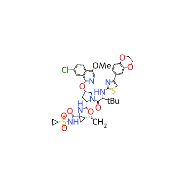 C=C[C@@H]1C[C@]1(NC(=O)[C@@H]1C[C@@H](Oc2ncc(OC)c3ccc(Cl)cc23)CN1C(=O)[C@@H](Nc1nc(-c2ccc3c(c2)OCCO3)cs1)C(C)(C)C)C(=O)NS(=O)(=O)C1CC1